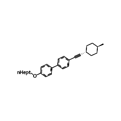 CCCCCCCOc1ccc(-c2ccc(C#C[C@H]3CC[C@H](C)CC3)cc2)cc1